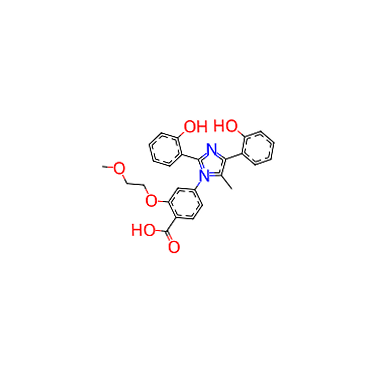 COCCOc1cc(-n2c(-c3ccccc3O)nc(-c3ccccc3O)c2C)ccc1C(=O)O